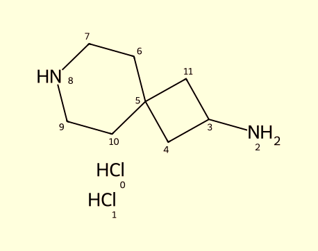 Cl.Cl.NC1CC2(CCNCC2)C1